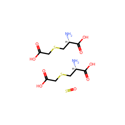 N[C@@H](CSCC(=O)O)C(=O)O.N[C@@H](CSCC(=O)O)C(=O)O.O=S